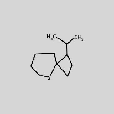 CC(C)C1CCC12CCCCS2